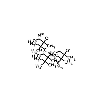 CCC(C)([O-])C(C)(C)C.CCC(C)([O-])C(C)(C)C.CCC(C)([O-])C(C)(C)C.[Al+3]